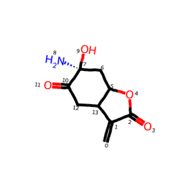 C=C1C(=O)OC2C[C@](N)(O)C(=O)CC12